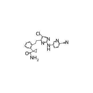 N#Cc1ccc(Nc2ncc(Cl)c(CCc3ccccc3C3(C(N)=O)CC3)n2)cn1